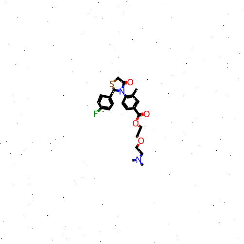 Cc1cc(C(=O)OCCOCCN(C)C)ccc1N1C(=O)CSC1c1ccc(F)cc1